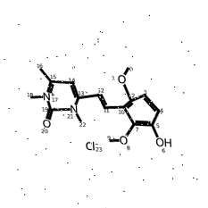 COc1ccc(O)c(OC)c1/C=C/c1cc(C)[n+](C)c(=O)n1C.[Cl-]